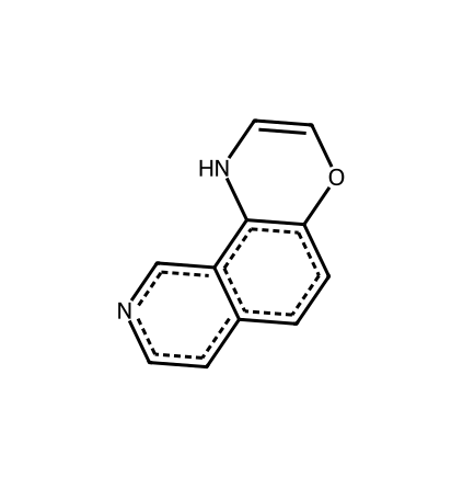 C1=COc2ccc3ccncc3c2N1